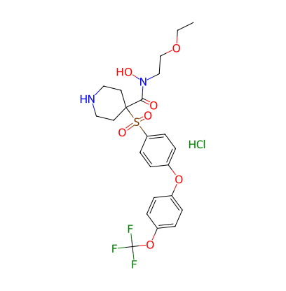 CCOCCN(O)C(=O)C1(S(=O)(=O)c2ccc(Oc3ccc(OC(F)(F)F)cc3)cc2)CCNCC1.Cl